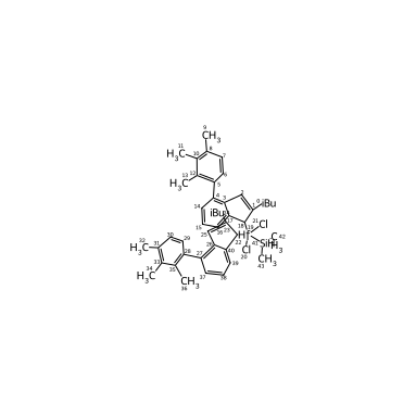 CCC(C)C1=Cc2c(-c3ccc(C)c(C)c3C)cccc2[CH]1[Hf]([Cl])([Cl])([CH]1C(C(C)CC)=Cc2c(-c3ccc(C)c(C)c3C)cccc21)[SiH](C)C